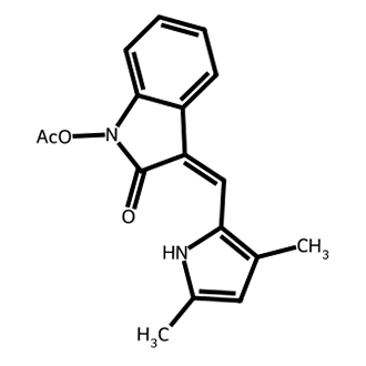 CC(=O)ON1C(=O)C(=Cc2[nH]c(C)cc2C)c2ccccc21